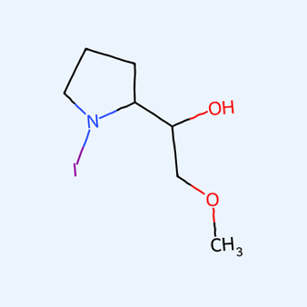 COCC(O)C1CCCN1I